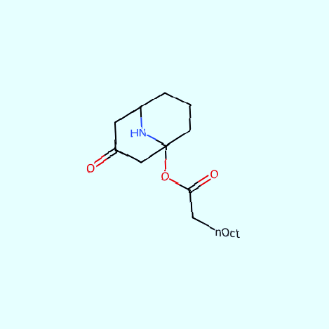 CCCCCCCCCC(=O)OC12CCCC(CC(=O)C1)N2